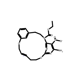 CCOC(=O)N1CCc2cccc(c2)OC/C=C/CCOc2nc(N)c([N+](=O)[O-])c1n2